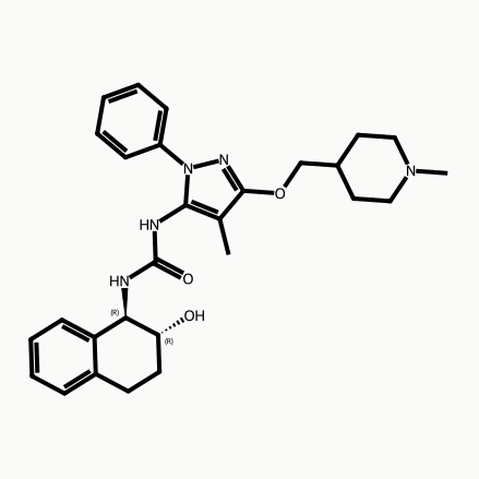 Cc1c(OCC2CCN(C)CC2)nn(-c2ccccc2)c1NC(=O)N[C@@H]1c2ccccc2CC[C@H]1O